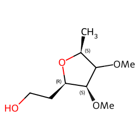 COC1[C@H](C)O[C@H](CCO)[C@@H]1OC